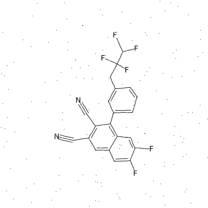 N#Cc1cc2cc(F)c(F)cc2c(-c2cccc(CC(F)(F)C(F)F)c2)c1C#N